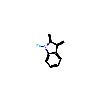 C=c1c(=C)n(F)c2ccccc12